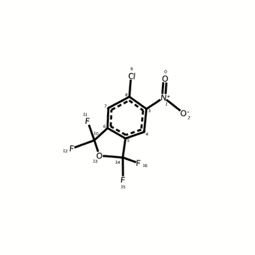 O=[N+]([O-])c1cc2c(cc1Cl)C(F)(F)OC2(F)F